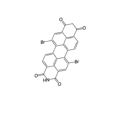 O=C1CC(=O)c2cc(Br)c3c4ccc5c6c(cc(Br)c(c7ccc1c2c73)c64)C(=O)NC5=O